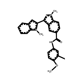 COc1ccc(NC(=O)c2ccc3c(c2)c(-c2cc4ccccc4n2C)nn3C)cc1I